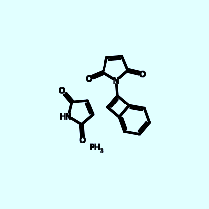 O=C1C=CC(=O)N1.O=C1C=CC(=O)N1C1=Cc2ccccc21.P